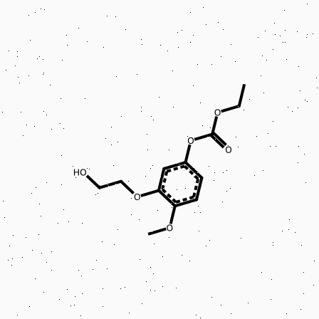 CCOC(=O)Oc1ccc(OC)c(OCCO)c1